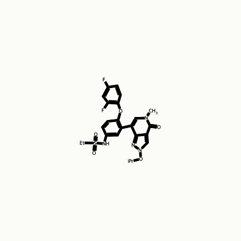 CCS(=O)(=O)Nc1ccc(Oc2ccc(F)cc2F)c(-c2cn(C)c(=O)c3cn(OC(C)C)nc23)c1